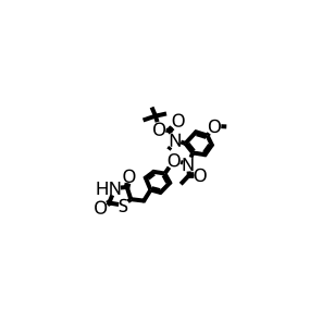 COc1ccc(N(Oc2ccc(CC3SC(=O)NC3=O)cc2)C(C)=O)c(N(C)C(=O)OC(C)(C)C)c1